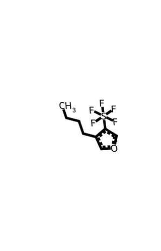 CCCCc1cocc1S(F)(F)(F)(F)F